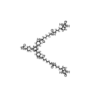 CC(=O)NC1CCN(c2nc(N3CCC(NC(=O)CCCCCNC(=O)CCCCC4SCC5NC(=O)NC54)CC3)nc(N3CCC(NC(=O)CCCCCNC(=O)CCCC[C@@H]4SCC5NC(=O)NC54)CC3)n2)CC1